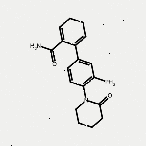 NC(=O)C1=CCCC=C1c1ccc(N2CCCCC2=O)c(P)c1